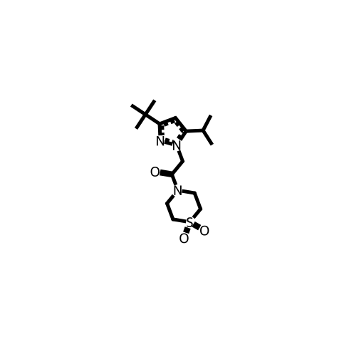 CC(C)c1cc(C(C)(C)C)nn1CC(=O)N1CCS(=O)(=O)CC1